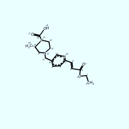 CCOC(=O)/C=C/c1ccc(CN2CCN(C(=O)O)[C@@H](C)C2)cn1